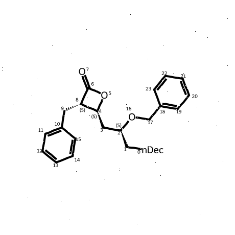 CCCCCCCCCCC[C@@H](C[C@@H]1OC(=O)[C@H]1Cc1ccccc1)OCc1ccccc1